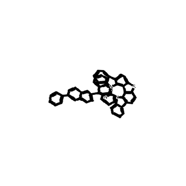 c1ccc(-c2ccc3cc(-c4nc(-n5c6ccccc6c6ccc7sc8ccc9c%10ccccc%10n(-c%10ccccc%10)c9c8c7c65)nc5ccccc45)ccc3c2)cc1